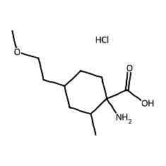 COCCC1CCC(N)(C(=O)O)C(C)C1.Cl